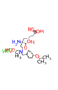 CC(C)Oc1ccc(CN(C)CCC(N)(CCCCB(O)O)C(=O)O)cc1.Cl.Cl.O